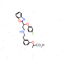 CC(Oc1cccc(CCNCCC(Oc2ccc(F)cc2)c2nc3ccccc3o2)c1)C(=O)O